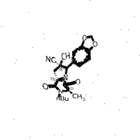 CCCCN1C(=O)[C@@]23C[C@](C)(C#N)C(c4ccc5c(c4)OCO5)N2C(=O)[C@]1(C)SS3